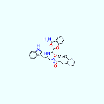 COc1ccccc1CCC(=O)NC[C@@H](Cc1c[nH]c2ccccc12)NC(=O)COc1ccccc1C(N)=O